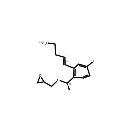 CCOC(=O)CC/C=C/c1cc(F)ccc1[C@@H](C)OCC1CO1